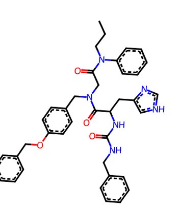 CCCN(C(=O)CN(Cc1ccc(OCc2ccccc2)cc1)C(=O)C(Cc1c[nH]cn1)NC(=O)NCc1ccccc1)c1ccccc1